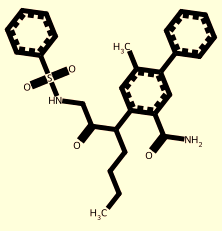 CCCCC(C(=O)CNS(=O)(=O)c1ccccc1)c1cc(C)c(-c2ccccc2)cc1C(N)=O